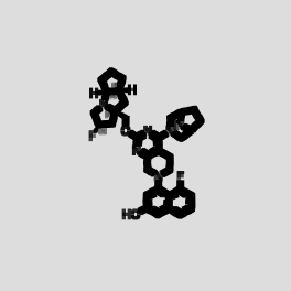 Oc1cc(N2CCc3c(nc(OC[C@@]45C[C@H](F)CN4[C@@H]4CCC[C@@H]4C5)nc3N3CC4CCC(C3)N4)C2)c2c(F)cccc2c1